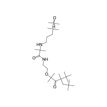 CC(C)(C)CC(C)(C(=O)C(C)(C)OCCNC(=O)C(C)(C)NCCCC(C)(C)[SH](C)(C)=O)C(C)(C)C